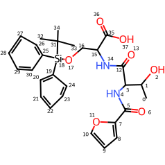 CC(O)C(NC(=O)c1ccco1)C(=O)NC(CO[Si](c1ccccc1)(c1ccccc1)C(C)(C)C)C(=O)O